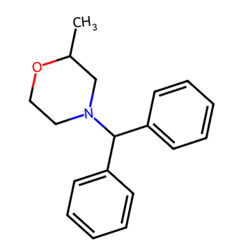 CC1CN(C(c2ccccc2)c2ccccc2)CCO1